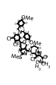 COc1ccc(CN(Cc2ccc(OC)cc2)c2cc(Cl)c(C(F)(F)F)c(C3Cc4nc(SC)nc(N5CCCn6nc(C(=O)N(C)C)c(Cl)c6C5)c4CO3)c2)cc1